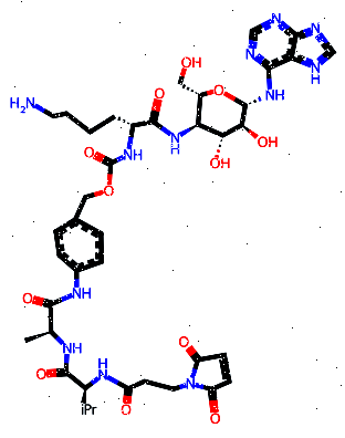 CC(C)[C@H](NC(=O)CCN1C(=O)C=CC1=O)C(=O)N[C@@H](C)C(=O)Nc1ccc(COC(=O)N[C@H](CCCCN)C(=O)N[C@@H]2[C@@H](O)[C@H](O)[C@@H](Nc3ncnc4nc[nH]c34)O[C@H]2CO)cc1